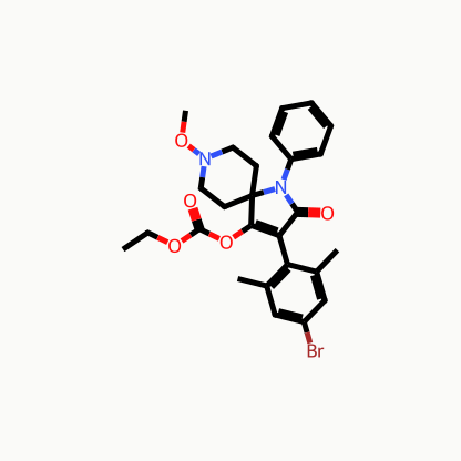 CCOC(=O)OC1=C(c2c(C)cc(Br)cc2C)C(=O)N(c2ccccc2)C12CCN(OC)CC2